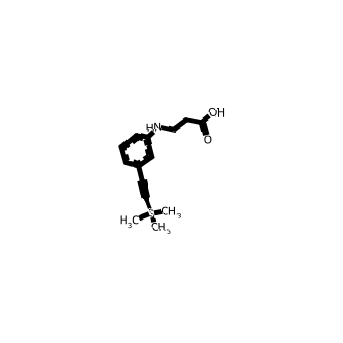 CS(C)(C)C#Cc1cccc(NCCC(=O)O)c1